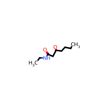 CCCCC(=O)CC(=O)NCC